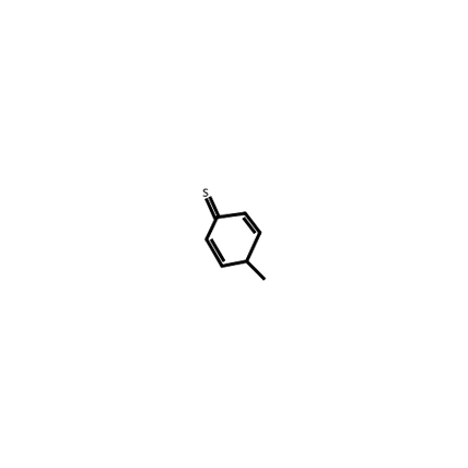 CC1C=CC(=S)C=C1